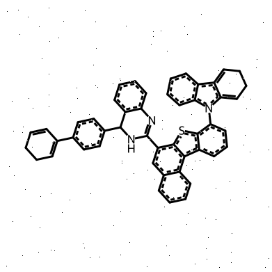 C1=CC(c2ccc(C3NC(c4cc5ccccc5c5c4sc4c(-n6c7c(c8ccccc86)=CCCC=7)cccc45)=Nc4ccccc43)cc2)=CCC1